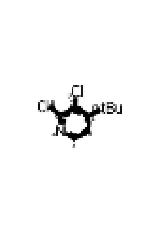 CC(C)(C)c1ccnc(Cl)c1Cl